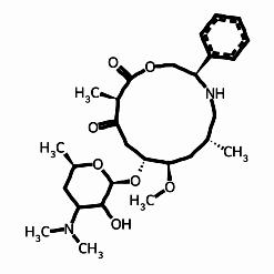 CO[C@@H]1C[C@@H](C)CN[C@H](c2ccccc2)COC(=O)[C@H](C)C(=O)C[C@H]1O[C@@H]1O[C@H](C)CC(N(C)C)C1O